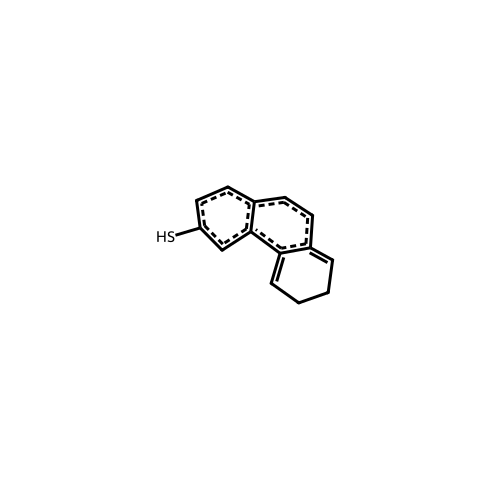 Sc1ccc2ccc3c(c2c1)=CCCC=3